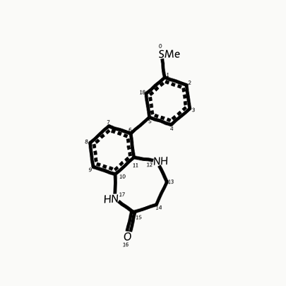 CSc1cccc(-c2cccc3c2NCCC(=O)N3)c1